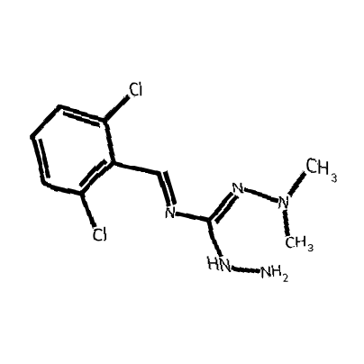 CN(C)N=C(N=Cc1c(Cl)cccc1Cl)NN